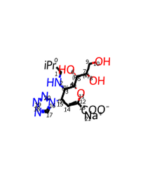 CC(C)CN[C@H]1[C@H]([C@H](O)[C@H](O)CO)OC(C(=O)[O-])=C[C@@H]1n1cnnn1.[Na+]